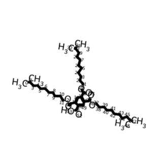 CC(C)CCCCCCCCCOC(=O)c1cc(C(=O)OCCCCCCCCCC(C)C)c(C(=O)OCCCCCCCCCC(C)C)cc1C(=O)O